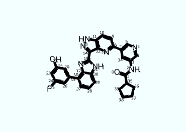 O=C(Nc1cncc(-c2ccc3[nH]nc(-c4nc5c(-c6cc(O)cc(F)c6)cccc5[nH]4)c3n2)c1)C1CCCC1